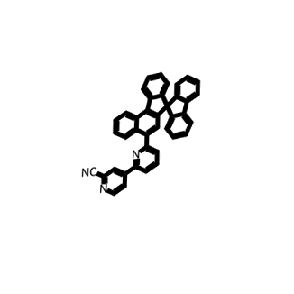 N#Cc1cc(-c2cccc(-c3cc4c(c5ccccc35)-c3ccccc3C43c4ccccc4-c4ccccc43)n2)ccn1